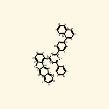 c1ccc(-c2nc(-c3ccc(-c4cccc5ccccc45)cc3)nc(-c3cccc4oc5cc6cccnc6cc5c34)n2)cc1